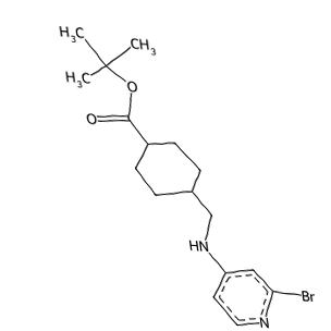 CC(C)(C)OC(=O)C1CCC(CNc2ccnc(Br)c2)CC1